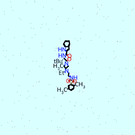 CCN(CCNS(=O)(=O)c1cc(C)ccc1C)[C@@H]1CN(C(=O)[C@@H](NC(=O)c2cc3ccccc3[nH]2)C(C)(C)C)C1C